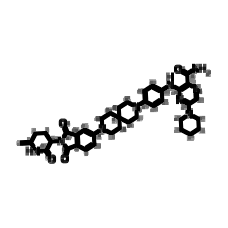 C=C1CCC(N2C(=O)c3ccc(N4CCC5(CCN(c6ccc(Nc7nc(N8CCCCC8)cnc7C(N)=O)cc6)CC5)CC4)cc3C2=O)C(=O)N1